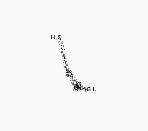 CCCCCCCCCCCCCCCCCCSc1ccc(C=Cc2ccc(S(=O)(=O)C(O)CCCCC)cc2)cc1